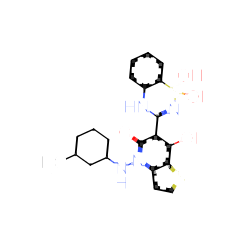 CC1CCCC(Nn2c(=O)c(C3=NS(O)(O)c4ccccc4N3)c(O)c3sccc32)C1